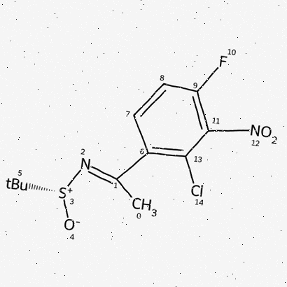 C/C(=N\[S@+]([O-])C(C)(C)C)c1ccc(F)c([N+](=O)[O-])c1Cl